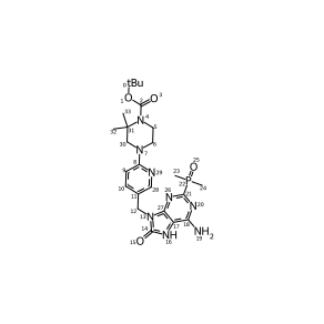 CC(C)(C)OC(=O)N1CCN(c2ccc(Cn3c(=O)[nH]c4c(N)nc(P(C)(C)=O)nc43)cn2)CC1(C)C